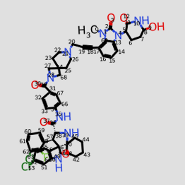 Cn1c(=O)n(C2CCC(O)NC2=O)c2cccc(C#CCN3CCC4(CC3)CN(C(=O)c3ccc(NC(=O)[C@@H]5NC6(CCCCC6)[C@@]6(C(=O)Nc7cc(Cl)ccc76)[C@H]5c5cccc(Cl)c5F)cc3)C4)c21